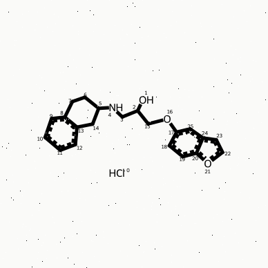 Cl.OC(CNC1CCc2ccccc2C1)COc1ccc2occc2c1